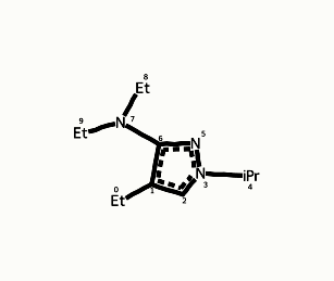 CCc1cn(C(C)C)nc1N(CC)CC